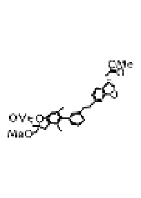 COCC1(COC)Cc2c(cc(C)c(-c3cccc(CCc4ccc5c(c4)OC[C@H]5CC(=O)OC)c3)c2C)O1